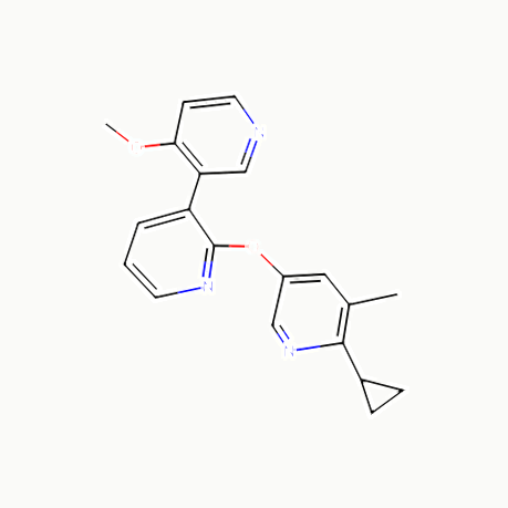 COc1ccncc1-c1cccnc1Oc1cnc(C2CC2)c(C)c1